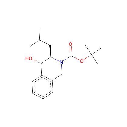 CC(C)C[C@@H]1[C@@H](O)c2ccccc2CN1C(=O)OC(C)(C)C